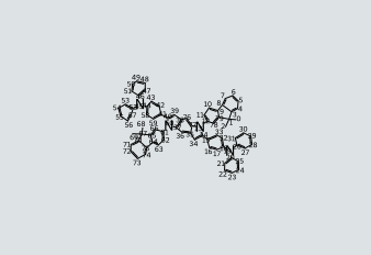 CC1(C)c2ccccc2-c2ccc(-n3c(-c4ccc(N(c5ccccc5)c5ccccc5)cc4)cc4cc5c(cc(-c6ccc(N(c7ccccc7)c7ccccc7)cc6)n5-c5ccc6c(c5)C(C)(C)c5ccccc5-6)cc43)cc21